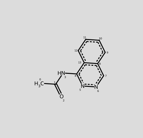 CC(=O)Nc1nncc2ccccc12